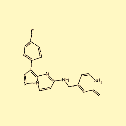 C=C/C=C(\C=C/N)CNc1ccn2ncc(-c3ccc(F)cc3)c2n1